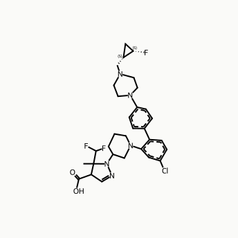 CC1(C(F)F)C(C(=O)O)C=NN1C1CCCN(c2cc(Cl)ccc2-c2ccc(N3CCN(C[C@@H]4C[C@@H]4F)CC3)cc2)C1